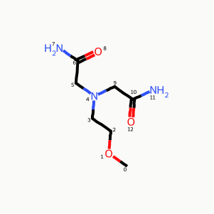 COCCN(CC(N)=O)CC(N)=O